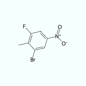 Cc1c(F)cc([N+](=O)[O-])cc1Br